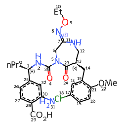 CCC[C@@H](NC(=O)N1C/C(=N/OCC)NC[C@@H](Cc2cc(Cl)ccc2OC)C1=O)c1ccc(C(=O)O)c(N)c1